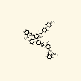 CN1CCN([C@H]2CC[C@H](CNC3=NC(NCc4ccccc4OC(F)(F)F)N(N4CCCCC4[C@H]4CC[C@H](CNc5nc(NCc6ccccc6OC(F)(F)F)ncc5[N+](=O)[O-])CC4)C=C3[N+](=O)[O-])CC2)CC1